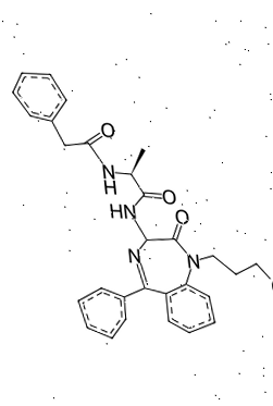 C[C@H](NC(=O)Cc1ccccc1)C(=O)NC1N=C(c2ccccc2)c2ccccc2N(CCCC(F)(F)F)C1=O